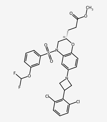 COC(=O)CC[C@H]1CN(S(=O)(=O)c2cccc(OC(F)F)c2)c2cc(N3CC(c4c(Cl)cccc4Cl)C3)ccc2O1